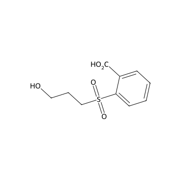 O=C(O)c1ccccc1S(=O)(=O)CCCO